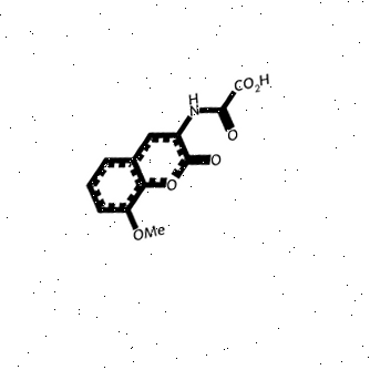 COc1cccc2cc(NC(=O)C(=O)O)c(=O)oc12